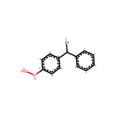 CCC(c1ccccc1)c1ccc(OO)cc1